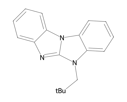 CC(C)(C)Cn1c2ccccc2n2c3ccccc3nc12